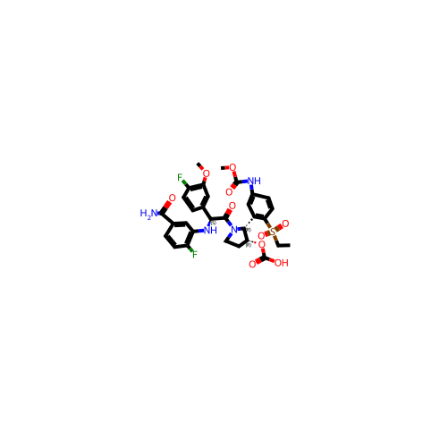 CCS(=O)(=O)c1ccc(NC(=O)OC)cc1[C@@H]1[C@H](OC(=O)O)CCN1C(=O)[C@@H](Nc1cc(C(N)=O)ccc1F)c1ccc(F)c(OC)c1